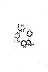 C=CC(=O)N1CC[C@H](Nc2cnc3[nH]cc(-c4ccncc4)c3c2)C1